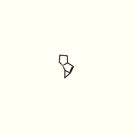 C1=C2CC2N2CCCC12